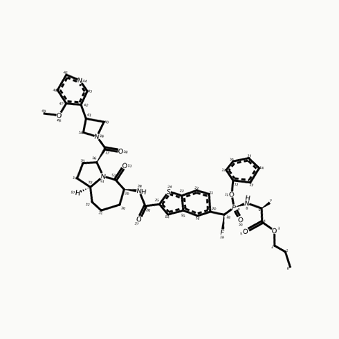 CCCOC(=O)[C@H](C)N[P@](=O)(Oc1ccccc1)[C@@H](F)c1ccc2sc(C(=O)N[C@H]3CCC[C@H]4CC[C@@H](C(=O)N5CC(c6cnccc6OC)C5)N4C3=O)cc2c1